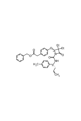 C=CC[C@@H](NC(=O)N1C(=O)C(CC)(CC)[C@@H]1Oc1ccc(CC(=O)OCc2ccccc2)cc1)c1ccc(C)cc1